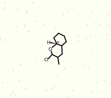 CC1CC2CCCC[C@H]2OC1Cl